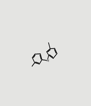 Cc1ccc[c]([Hf][c]2cccc(C)c2)c1